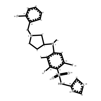 Cc1c(N(C)C2CCN(Cc3ccccc3F)C2)cc(F)c(S(=O)(=O)Nc2cscn2)c1F